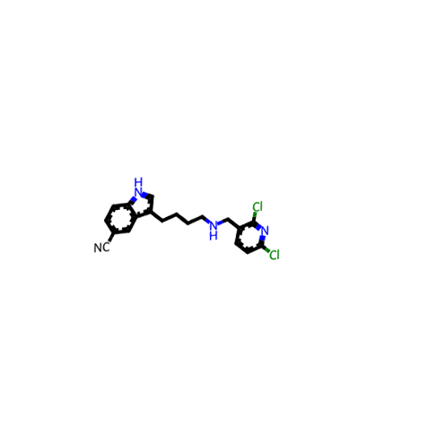 N#Cc1ccc2[nH]cc(CCCCNCc3ccc(Cl)nc3Cl)c2c1